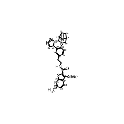 CNc1c(C(=O)NCCc2ccc(N3CC4CCC(C3)N4)c(-c3cnon3)c2)sc2nc(C)ccc12